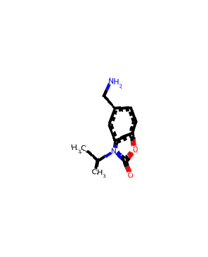 CC(C)n1c(=O)oc2ccc(CN)cc21